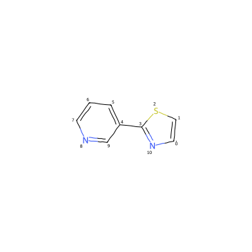 [c]1csc(-c2cccnc2)n1